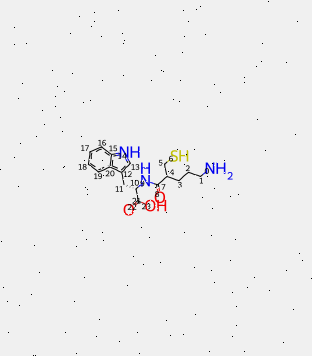 NCCCC(CS)C(=O)N[C@@H](Cc1c[nH]c2ccccc12)C(=O)O